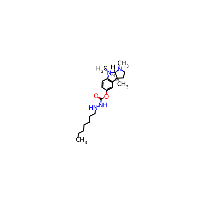 CCCCCCCNNC(=O)Oc1ccc2c(c1)[C@]1(C)CCN(C)[C@H]1N2C